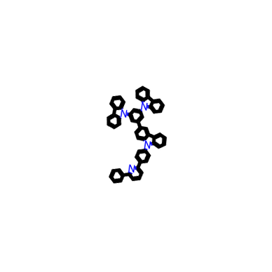 c1ccc(-c2cccc(-c3ccc(-n4c5ccccc5c5cc(-c6cc(-n7c8ccccc8c8ccccc87)cc(-n7c8ccccc8c8ccccc87)c6)ccc54)cc3)n2)cc1